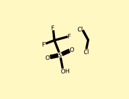 ClCCl.O=S(=O)(O)C(F)(F)F